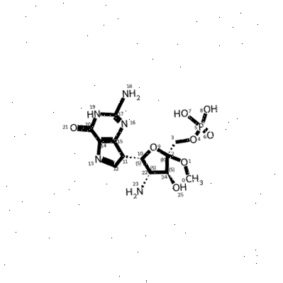 CO[C@]1(COP(=O)(O)O)O[C@@H](C2C=Nc3c2nc(N)[nH]c3=O)[C@@H](N)[C@@H]1O